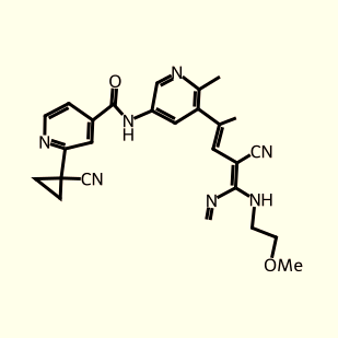 C=N/C(NCCOC)=C(C#N)\C=C(/C)c1cc(NC(=O)c2ccnc(C3(C#N)CC3)c2)cnc1C